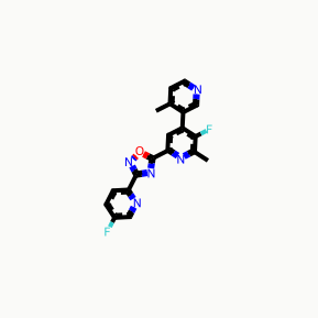 Cc1ccncc1-c1cc(-c2nc(-c3ccc(F)cn3)no2)nc(C)c1F